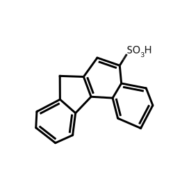 O=S(=O)(O)c1cc2c(c3ccccc13)-c1ccccc1C2